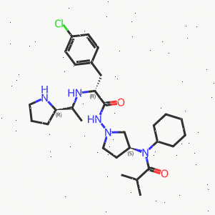 CC(C)C(=O)N(C1CCCCC1)[C@H]1CCN(NC(=O)[C@@H](Cc2ccc(Cl)cc2)NC(C)[C@H]2CCCN2)C1